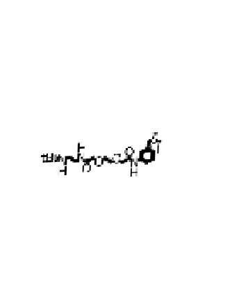 C[SH](C)Cc1cccc(NC(=O)COCCOCC(=O)NCCNC(C)(C)C)c1